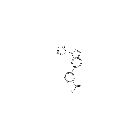 NC(=O)c1cccc(-c2ccc3nnc(-c4cscn4)n3c2)c1